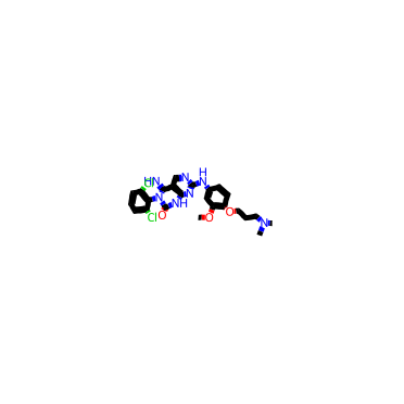 COc1cc(Nc2ncc3c(=N)n(-c4c(Cl)cccc4Cl)c(=O)[nH]c3n2)ccc1OCCCN(C)C